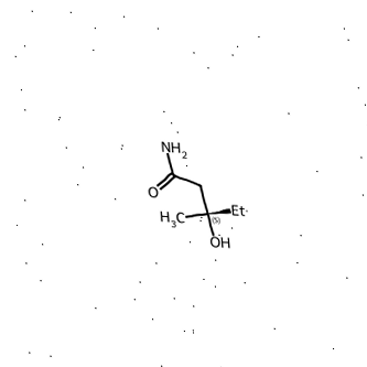 C[CH][C@](C)(O)CC(N)=O